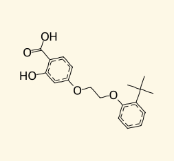 CC(C)(C)c1ccccc1OCCOc1ccc(C(=O)O)c(O)c1